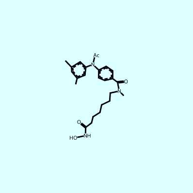 CC(=O)N(c1ccc(C(=O)N(C)CCCCCCC(=O)NO)cc1)c1cc(C)cc(C)c1